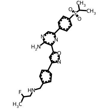 CC(F)CNCc1ccc(-c2cc(-c3nc(-c4ccc(S(=O)(=O)C(C)C)cc4)cnc3N)on2)cc1